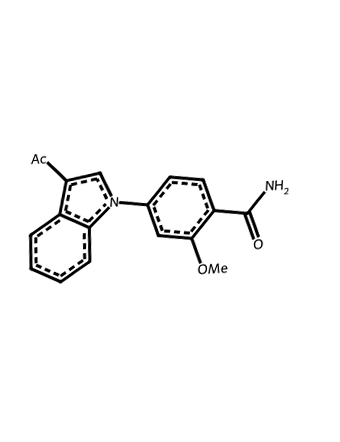 COc1cc(-n2cc(C(C)=O)c3ccccc32)ccc1C(N)=O